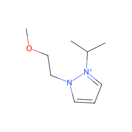 COCCn1ccc[n+]1C(C)C